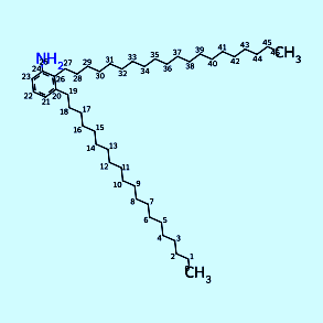 CCCCCCCCCCCCCCCCCCCCc1cccc(N)c1CCCCCCCCCCCCCCCCCCCC